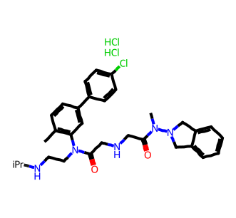 Cc1ccc(-c2ccc(Cl)cc2)cc1N(CCNC(C)C)C(=O)CNCC(=O)N(C)N1Cc2ccccc2C1.Cl.Cl